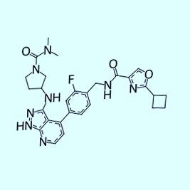 CN(C)C(=O)N1CCC(Nc2n[nH]c3nccc(-c4ccc(CNC(=O)c5coc(C6CCC6)n5)c(F)c4)c23)C1